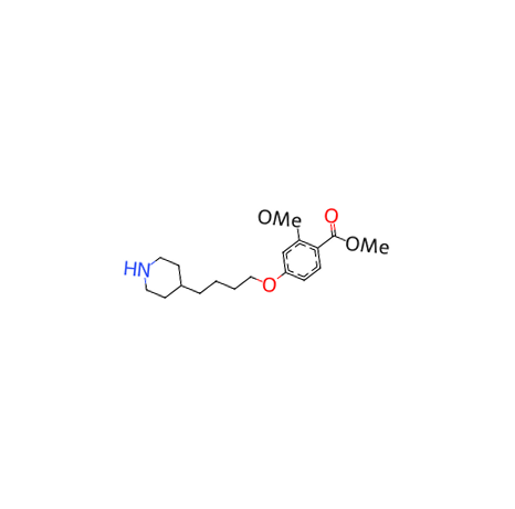 COC(=O)c1ccc(OCCCCC2CCNCC2)cc1OC